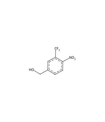 O=[N+]([O-])c1ccc(CO)cc1C(F)(F)F